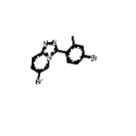 Cc1cc(Br)ccc1-c1nnc2ccc(Br)cn12